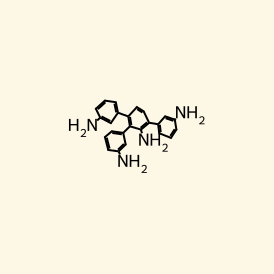 Nc1cccc(-c2ccc(-c3cccc(N)c3)c(-c3cccc(N)c3)c2N)c1